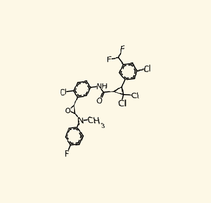 CN(c1ccc(F)cc1)C1OC1c1cc(NC(=O)C2C(c3cc(Cl)cc(C(F)F)c3)C2(Cl)Cl)ccc1Cl